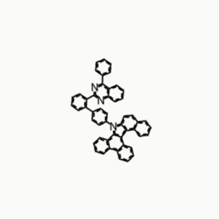 c1ccc(-c2nc(-c3ccccc3-c3ccc(-n4c5ccc6ccccc6c5c5c6ccccc6c6ccccc6c54)cc3)nc3ccccc23)cc1